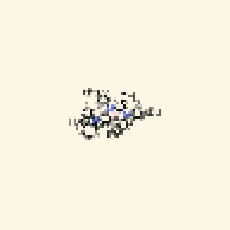 Cc1cc2c3c(c1)N(c1ccc(C(C)(C)C)cc1)c1cc(N4c5ccccc5C5(C)CCCCCCC45C)ccc1B3c1cc(C(C)(C)C)ccc1N2c1ccc(C(C)(C)C)cc1